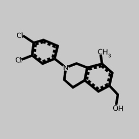 Cc1cc(CO)cc2c1CN(c1ccc(Cl)c(Cl)c1)CC2